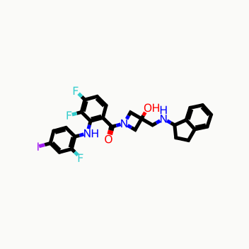 O=C(c1ccc(F)c(F)c1Nc1ccc(I)cc1F)N1CC(O)(CNC2CCc3ccccc32)C1